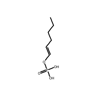 CCCCC=COP(=O)(O)O